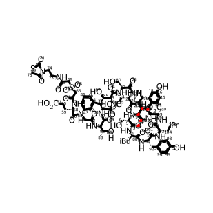 CC[C@H](C)[C@H](NC(=O)[C@H](CO)NC(=O)[C@H](Cc1ccc(O)cc1)NC(=O)[C@H](CC(=O)O)NC(=O)[C@H](CO)NC(=O)[C@@H](NC(=O)[C@H](Cc1ccccc1)NC(=O)[C@@H](NC(=O)CNC(=O)[C@H](CCC(=O)O)NC(=O)CS(=O)(=O)CC(=O)NCCN1C(=O)CSC1=O)[C@@H](C)O)[C@@H](C)O)C(=O)N[C@@H](Cc1ccc(O)cc1)C(=O)N[C@@H](CC(C)C)C(=O)N[C@@H](CC(=O)O)C(=O)N[C@H](C)CCCCN